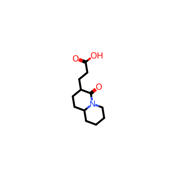 O=C(O)CCC1CCC2CCCCN2C1=O